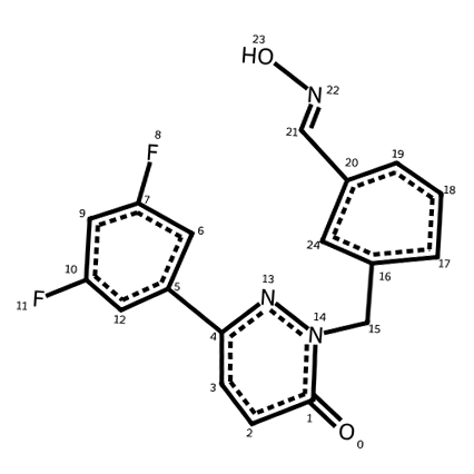 O=c1ccc(-c2cc(F)cc(F)c2)nn1Cc1cccc(/C=N/O)c1